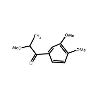 COc1ccc(C(=O)C(C)OC)cc1OC